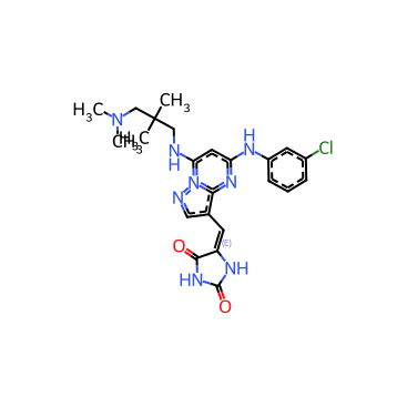 CN(C)CC(C)(C)CNc1cc(Nc2cccc(Cl)c2)nc2c(/C=C3/NC(=O)NC3=O)cnn12